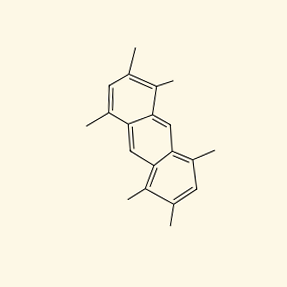 Cc1cc(C)c2cc3c(C)c(C)cc(C)c3cc2c1C